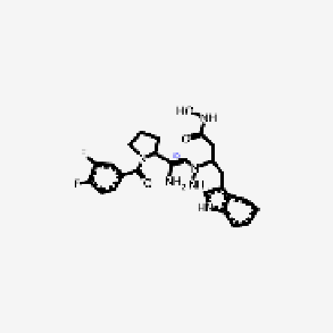 N/C(=C\N(N)C(CC(=O)NO)Cc1c[nH]c2ccccc12)C1CCCN1C(=O)c1ccc(F)c(F)c1